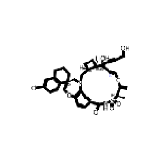 C=C1C/C=C/[C@@](O)(C#CCO)[C@@H]2CC[C@H]2CN2C[C@@]3(CCCc4cc(Cl)ccc43)COc3ccc(cc32)C(=O)NS(=O)(=O)[C@@H]1C